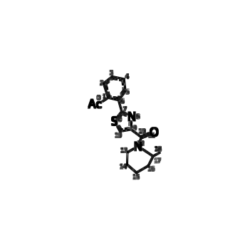 CC(=O)c1ccccc1-c1nc(C(=O)N2CCCCC2C)cs1